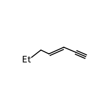 C#CC=CCCC